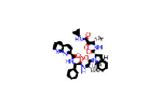 CCC[C@H](NC(=O)[C@@H]1C[C@@H]2CCCC[C@@H]2N1C(=O)[C@@H](NC(=O)C(NC(=O)c1ccc2cccnc2n1)C1CCCCC1)C(C)(C)C)C(=O)C(=O)NC1CC1